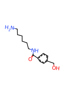 NCCCCCCNC(=O)c1ccc(CO)cc1